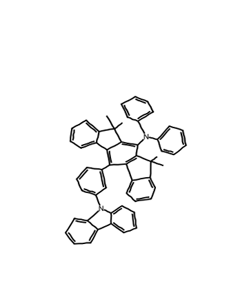 CC1(C)c2ccccc2-c2c(-c3cccc(-n4c5ccccc5c5ccccc54)c3)c3c(c(N(c4ccccc4)c4ccccc4)c21)C(C)(C)c1ccccc1-3